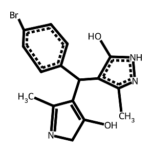 CC1=NCC(O)=C1C(c1ccc(Br)cc1)c1c(C)n[nH]c1O